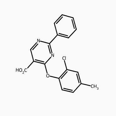 Cc1ccc(Oc2nc(-c3ccccc3)ncc2C(=O)O)c(Cl)c1